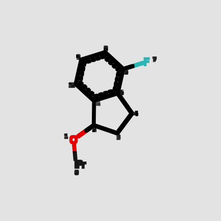 CC(C)OC1CCc2c(F)cccc21